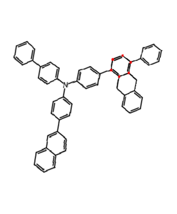 c1ccc(-c2ccc(N(c3ccc(-c4ccc5ccccc5c4)cc3)c3ccc(-c4ccc(-c5ccccc5)c5c4C4c6ccccc6C5c5ccccc54)cc3)cc2)cc1